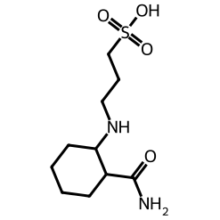 NC(=O)C1CCCCC1NCCCS(=O)(=O)O